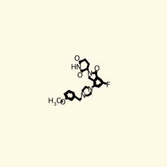 COc1cccc(CN2CCN(c3cc(F)cc4c3CN(C3CCC(=O)NC3=O)C4=O)CC2)c1